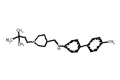 Cc1ccc(-c2ccc(NCC3CCN(CCC(C)(C)C)CC3)cc2)cc1